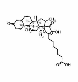 CC1C[C@H]2[C@@H]3CCC4=CC(=O)C=C[C@]4(C)[C@@]3(F)C=C[C@]2(C)[C@@]1(OC(=O)CCCCCCC(=O)O)C(=O)CO